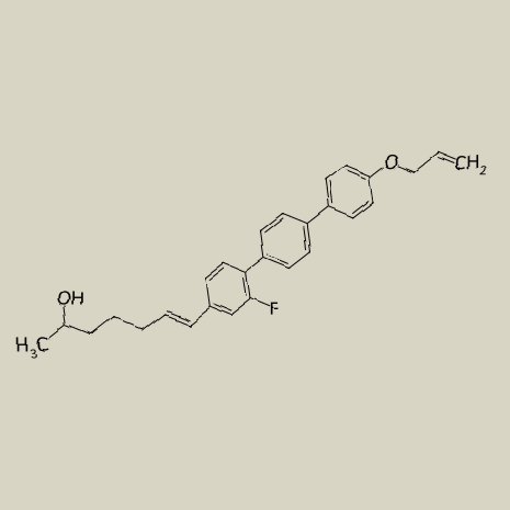 C=CCOc1ccc(-c2ccc(-c3ccc(C=CCCCC(C)O)cc3F)cc2)cc1